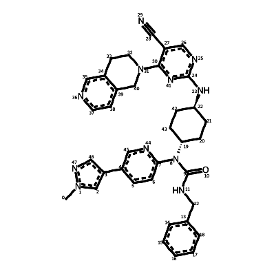 Cn1cc(-c2ccc(N(C(=O)NCc3ccccc3)[C@H]3CC[C@H](Nc4ncc(C#N)c(N5CCc6cnccc6C5)n4)CC3)nc2)cn1